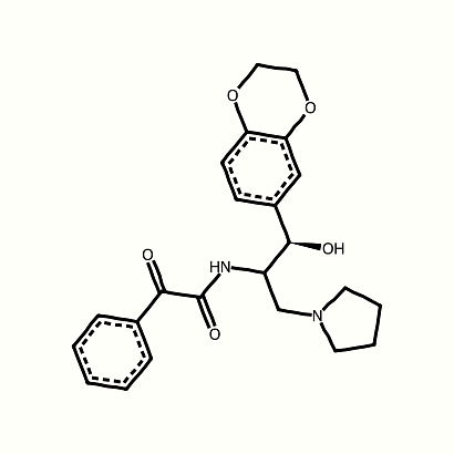 O=C(NC(CN1CCCC1)[C@H](O)c1ccc2c(c1)OCCO2)C(=O)c1ccccc1